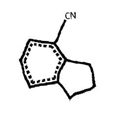 N#Cc1cccc2c1CC[CH]2